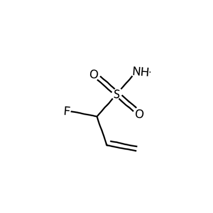 C=CC(F)S([NH])(=O)=O